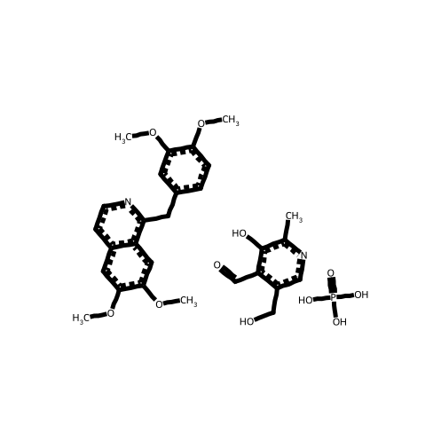 COc1ccc(Cc2nccc3cc(OC)c(OC)cc23)cc1OC.Cc1ncc(CO)c(C=O)c1O.O=P(O)(O)O